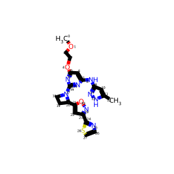 COCCOc1cc(Nc2cc(C)[nH]n2)nc(N2CCC2c2cc(-c3nccs3)no2)n1